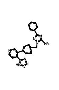 CCCCc1nc(-c2ccccc2)nn1Cc1ccc(-c2cnccc2-c2nnn[nH]2)cc1